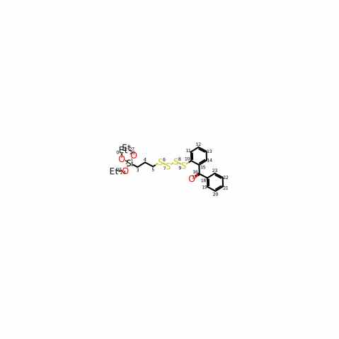 CCO[Si](CCCSSSSc1ccccc1C(=O)c1ccccc1)(OCC)OCC